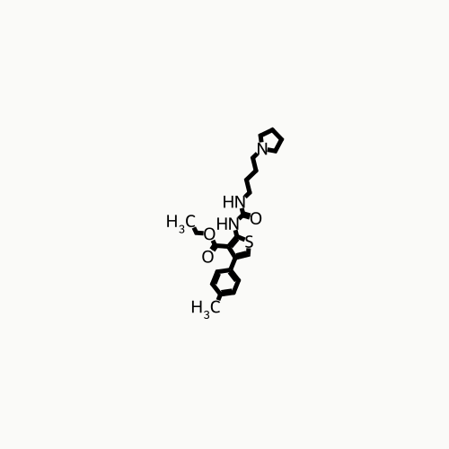 CCOC(=O)c1c(-c2ccc(C)cc2)csc1NC(=O)NCCCCN1CCCC1